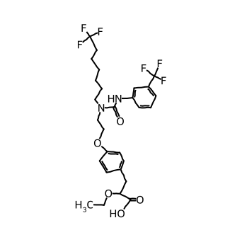 CCOC(Cc1ccc(OCCN(CCCCCCC(F)(F)F)C(=O)Nc2cccc(C(F)(F)F)c2)cc1)C(=O)O